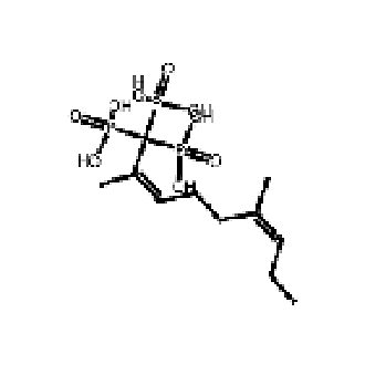 CCC=C(C)CCC=C(C)C(P(=O)(O)O)(P(=O)(O)O)P(=O)(O)O